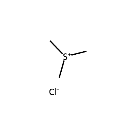 C[S+](C)C.[Cl-]